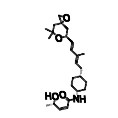 CC(/C=C/[C@@H]1C[C@]2(CO2)CC(C)(C)O1)=C\C[C@H]1CC[C@@H](NC(=O)/C=C\[C@H](C)O)CC1